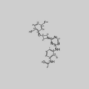 CC(=O)Nc1cccc(Nc2ncnc(N3CC(Oc4cc(F)ccc4F)C3)n2)c1C